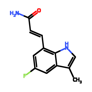 Cc1c[nH]c2c(C=CC(N)=O)cc(F)cc12